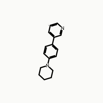 [c]1cncc(-c2ccc(N3CCCCC3)cc2)c1